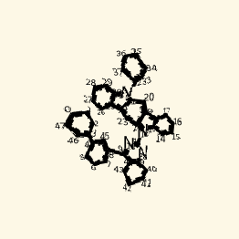 c1ccc(-c2cccc(-c3nc(-n4c5ccccc5c5cc6c(cc54)c4ccccc4n6-c4ccccc4)nc4ccccc34)c2)cc1